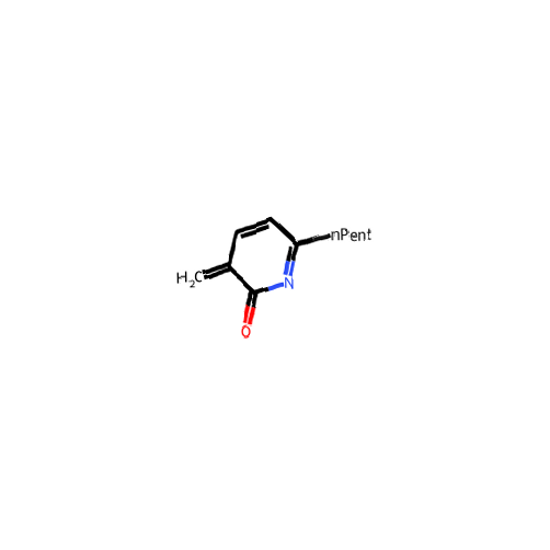 C=C1C=CC(CCCCC)=NC1=O